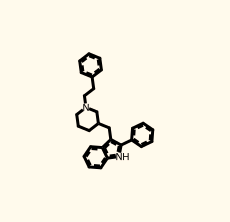 c1ccc(CCN2CCCC(Cc3c(-c4ccccc4)[nH]c4ccccc34)C2)cc1